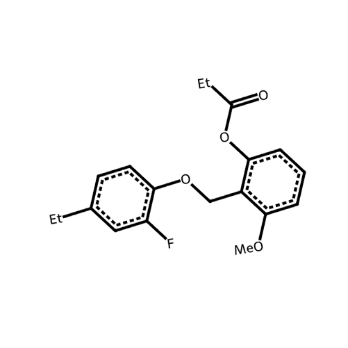 CCC(=O)Oc1cccc(OC)c1COc1ccc(CC)cc1F